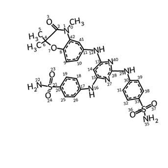 CN1C(=O)C(C)(C)Oc2ccc(Nc3cc(Nc4ccc(S(N)(=O)=O)cc4)nc(Nc4ccc(S(N)(=O)=O)cc4)n3)cc21